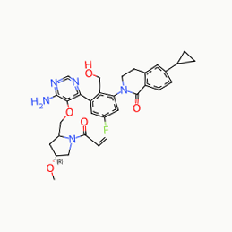 C=CC(=O)N1C[C@H](OC)CC1COc1c(N)ncnc1-c1cc(F)cc(N2CCc3cc(C4CC4)ccc3C2=O)c1CO